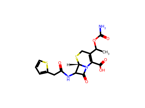 CC(OC(N)=O)C1=C(C(=O)O)N2C(=O)C(NC(=O)Cc3cccs3)[C@@H]2SC1